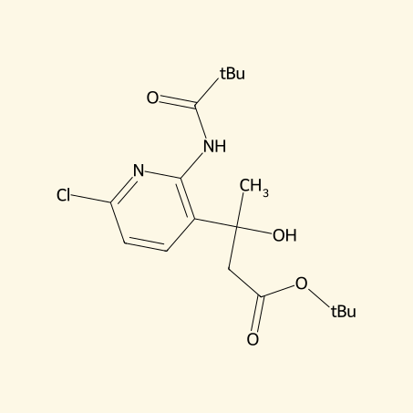 CC(C)(C)OC(=O)CC(C)(O)c1ccc(Cl)nc1NC(=O)C(C)(C)C